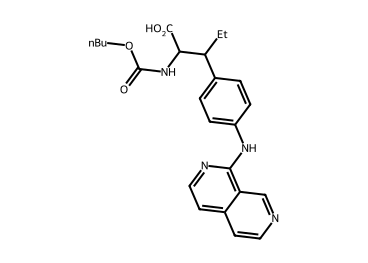 CCCCOC(=O)NC(C(=O)O)C(CC)c1ccc(Nc2nccc3ccncc23)cc1